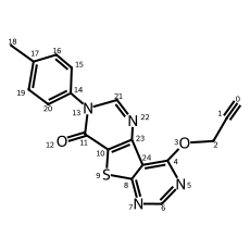 C#CCOc1ncnc2sc3c(=O)n(-c4ccc(C)cc4)cnc3c12